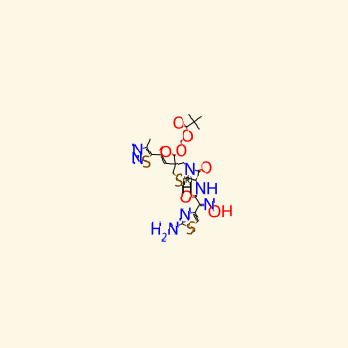 Cc1nnsc1C=CC1(C(=O)OCOC(=O)C(C)(C)C)CS[C@@H]2C(NC(=O)C(=NO)c3csc(N)n3)C(=O)N2C1